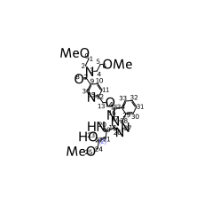 COCCN(CCOC)C(=O)c1ccc(COc2nn3c(C(=N)/C=C(\O)COC)nnc3c3ccccc23)nc1